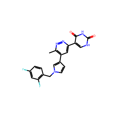 Cc1nnc(-c2c[nH]c(=O)[nH]c2=O)cc1-c1ccn(Cc2ccc(F)cc2F)c1